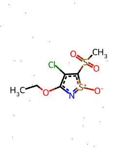 CCOc1n[s+]([O-])c(S(C)(=O)=O)c1Cl